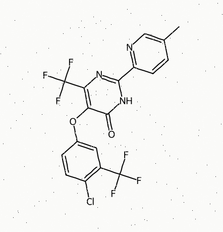 Cc1ccc(-c2nc(C(F)(F)F)c(Oc3ccc(Cl)c(C(F)(F)F)c3)c(=O)[nH]2)nc1